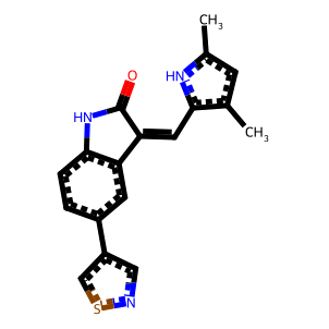 Cc1cc(C)c(/C=C2\C(=O)Nc3ccc(-c4cnsc4)cc32)[nH]1